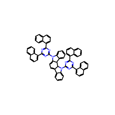 C1=C2c3ccccc3N(c3nc(-c4cccc5ccccc45)nc(-c4cccc5ccccc45)n3)C2C2C(=C1)N(c1nc(-c3cccc4ccccc34)nc(-c3cccc4ccccc34)n1)c1ccccc12